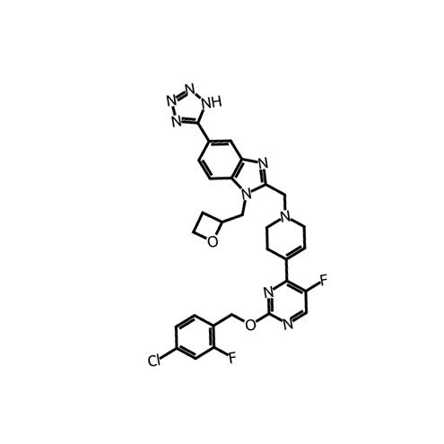 Fc1cc(Cl)ccc1COc1ncc(F)c(C2=CCN(Cc3nc4cc(-c5nnn[nH]5)ccc4n3CC3CCO3)CC2)n1